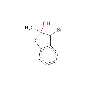 CC1(O)Cc2ccccc2C1Br